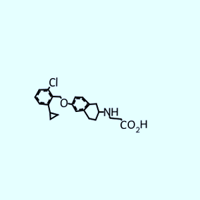 O=C(O)CCNC1CCc2cc(OCc3c(Cl)cccc3C3CC3)ccc2C1